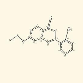 CCOc1ccc2c(=O)cc(-c3ccccc3O)oc2c1